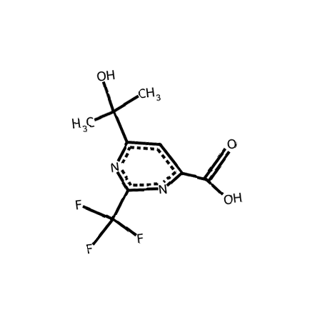 CC(C)(O)c1cc(C(=O)O)nc(C(F)(F)F)n1